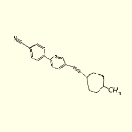 CC1CCC(C#Cc2ccc(-c3ccc(C#N)cc3)cc2)CC1